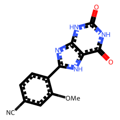 COc1cc(C#N)ccc1-c1nc2[nH]c(=O)[nH]c(=O)c2[nH]1